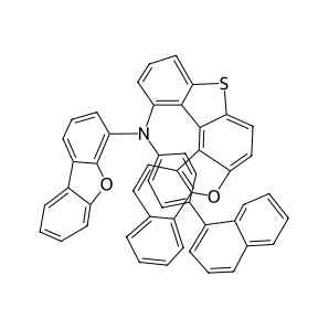 c1ccc2c(-c3ccc(N(c4cccc5c4oc4ccccc45)c4cccc5sc6ccc7oc8c9ccccc9ccc8c7c6c45)cc3)cccc2c1